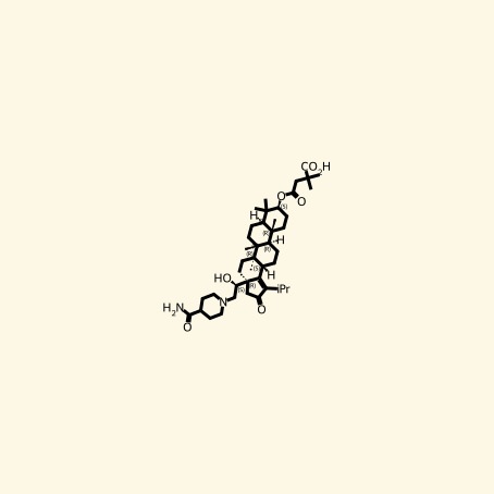 CC(C)C1=C2[C@H]3CC[C@@H]4[C@@]5(C)CC[C@H](OC(=O)CC(C)(C)C(=O)O)C(C)(C)[C@@H]5CC[C@@]4(C)[C@]3(C)CC[C@@]2([C@H](O)CN2CCC(C(N)=O)CC2)CC1=O